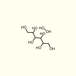 OCC(O)C(O)C(O)C(O)CO.OO